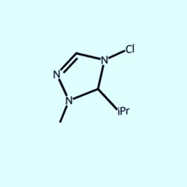 CC(C)C1N(Cl)C=NN1C